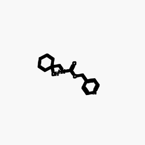 O=C(NCC1(O)CCCCC1)OCc1ccncc1